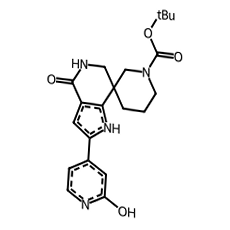 CC(C)(C)OC(=O)N1CCCC2(CNC(=O)c3cc(-c4ccnc(O)c4)[nH]c32)C1